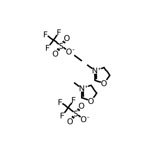 CC.C[N+]1=COCC1.C[N+]1=COCC1.O=S(=O)([O-])C(F)(F)F.O=S(=O)([O-])C(F)(F)F